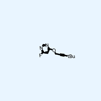 CC(C)(C)C#CCOc1cc(F)ncn1